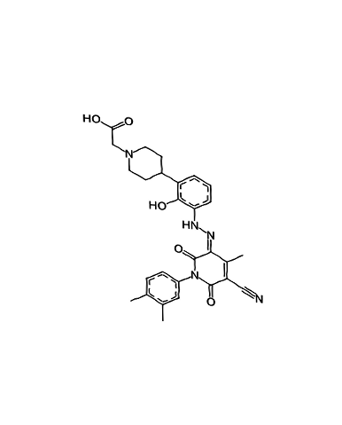 CC1=C(C#N)C(=O)N(c2ccc(C)c(C)c2)C(=O)C1=NNc1cccc(C2CCN(CC(=O)O)CC2)c1O